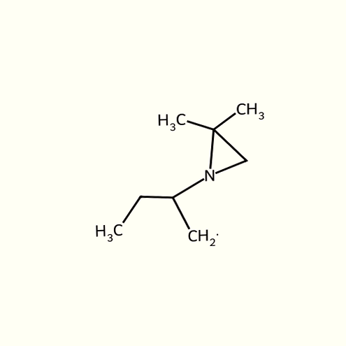 [CH2]C(CC)N1CC1(C)C